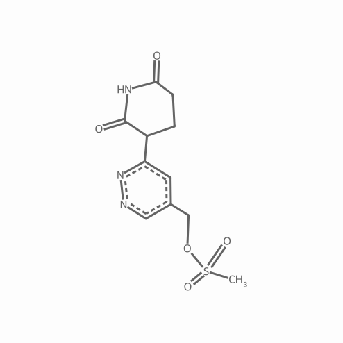 CS(=O)(=O)OCc1cnnc(C2CCC(=O)NC2=O)c1